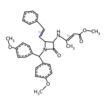 COC(=O)/C=C(\C)NC1C(=O)N(C(c2ccc(OC)cc2)c2ccc(OC)cc2)C1/C=C/c1ccccc1